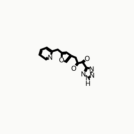 O=C(Cc1coc(Cc2ccccn2)c1)C(=O)c1nn[nH]n1